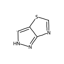 [c]1[nH]nc2ncsc12